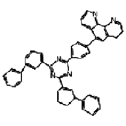 C1=CC(c2nc(-c3ccc(-c4cc5c(c6ncccc46)N=CCC5)cc3)nc(-c3cccc(-c4ccccc4)c3)n2)=CC(c2ccccc2)C1